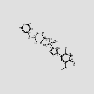 CCc1cc(-c2ccc(S(=O)(=O)NC3CCN(Cc4ccccc4)CC3)s2)c(C)[nH]c1=O